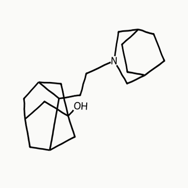 OC12CC3CC(C1)C(CCN1CC4CCC(CC4)C1)C(C3)C2